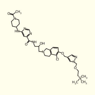 CC(=O)N1CCC(Nc2cc(C(=O)NCC(O)CN3CCc4c(ccc(OCc5cnn(COCC[Si](C)(C)C)c5)c4Cl)C3)ncn2)CC1